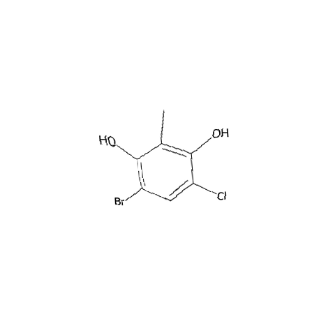 Cc1c(O)c(Cl)cc(Br)c1O